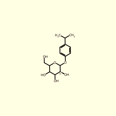 CC(C)c1ccc(OC2OC(CO)C(O)C(O)[C@@H]2O)cc1